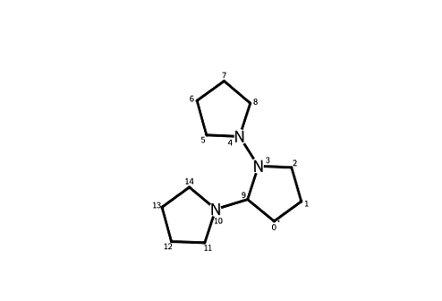 [CH]1CCN(N2CCCC2)C1N1CCCC1